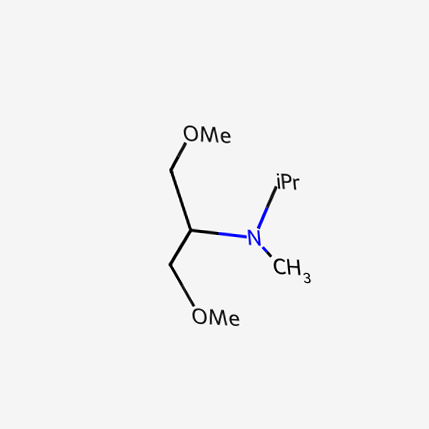 COCC(COC)N(C)C(C)C